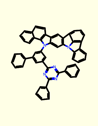 c1ccc(-c2cc(-c3nc(-c4ccccc4)nc(-c4ccccc4)n3)cc(-n3c4cc5c(cc4c4ccc6ccccc6c43)c3cccc4c6ccccc6n5c43)c2)cc1